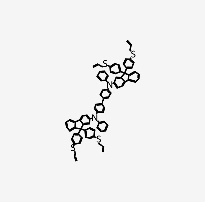 C=CCSc1ccc(C2(c3ccc(SCC=C)cc3)c3ccccc3-c3ccc(N(c4ccccc4)c4ccc(-c5ccc(N(c6ccccc6)c6ccc7c(c6)C(c6ccc(SCC=C)cc6)(c6ccc(SCC=C)cc6)c6ccccc6-7)cc5)cc4)cc32)cc1